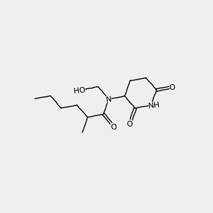 CCCCC(C)C(=O)N(CO)C1CCC(=O)NC1=O